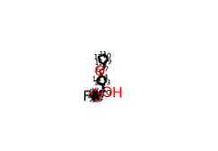 OC(c1ccc(OCc2ccccc2)cc1)[C]12[CH]3[CH]4[CH]5[CH]1[Fe]45321678[CH]2[CH]1[CH]6[CH]7[CH]28